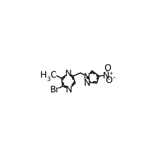 Cc1nc(Cn2cc([N+](=O)[O-])cn2)cnc1Br